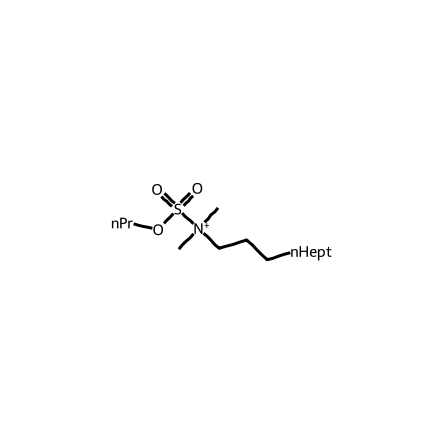 CCCCCCCCCC[N+](C)(C)S(=O)(=O)OCCC